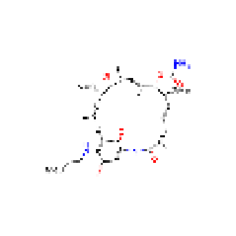 COCCNC1=C2C[C@@H](C)C[C@H](OC)[C@H](O)[C@@H](C)/C=C(\C)[C@H](OC(N)=O)[C@@H](OC)/C=C/C=C(/C)C(=O)NC(=CC1=O)C2=O